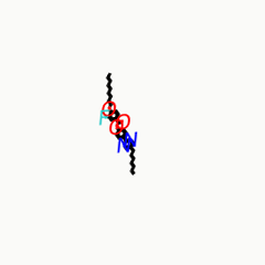 CCCCCCCCCOc1ccc(C(=O)Oc2ccc(-c3ncc(CCCCCCC)cn3)cc2)cc1F